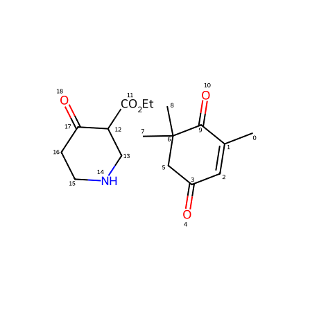 CC1=CC(=O)CC(C)(C)C1=O.CCOC(=O)C1CNCCC1=O